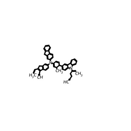 C#CCC/C(=C\C)n1c2ccccc2c2cc(C3C=CC(N(c4ccc5c(c4)CC(/C=C\C)=C5C#C)c4ccc5c(c4)Cc4ccccc4-5)=CC3C)ccc21